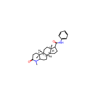 CN1C(=O)CC[C@@]2(C)C1CC[C@@H]1[C@H]2CC[C@]2(C)C(C(=O)Nc3ccccc3)CC[C@@H]12